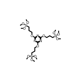 CO[Si](CCCOc1nc(OCCC[Si](OC)(OC)OC)nc(OCCC[Si](OC)(OC)OC)n1)(OC)OC